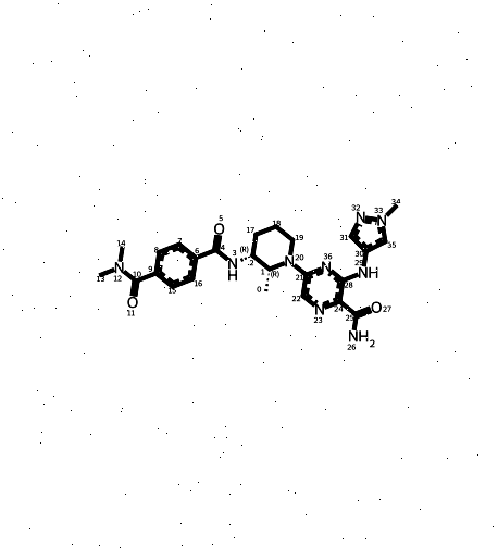 C[C@@H]1[C@H](NC(=O)c2ccc(C(=O)N(C)C)cc2)CCCN1c1cnc(C(N)=O)c(Nc2cnn(C)c2)n1